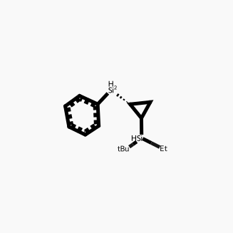 CC[SiH](C1C[C@H]1[SiH2]c1ccccc1)C(C)(C)C